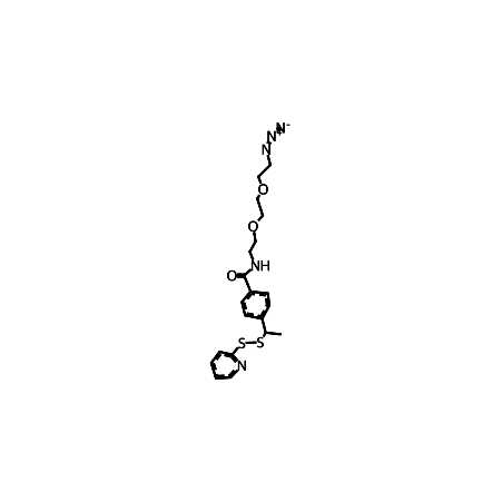 CC(SSc1ccccn1)c1ccc(C(=O)NCCOCCOCCN=[N+]=[N-])cc1